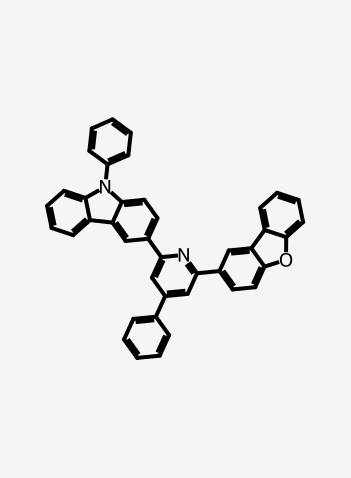 c1ccc(-c2cc(-c3ccc4oc5ccccc5c4c3)nc(-c3ccc4c(c3)c3ccccc3n4-c3ccccc3)c2)cc1